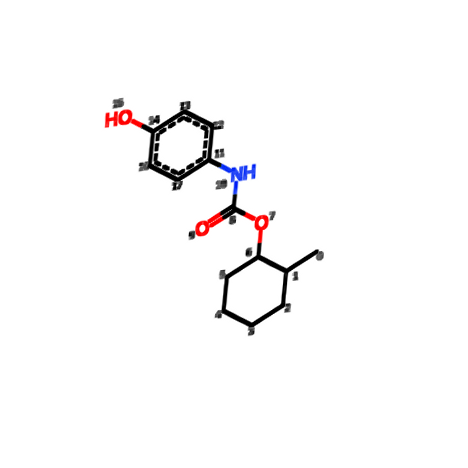 CC1CCCCC1OC(=O)Nc1ccc(O)cc1